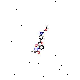 CCOCCNc1ccc(-c2cc(=O)c3c(NC(=O)C(C)(C)C)cccc3o2)cc1